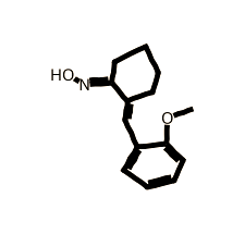 COc1ccccc1C=C1CCCCC1=NO